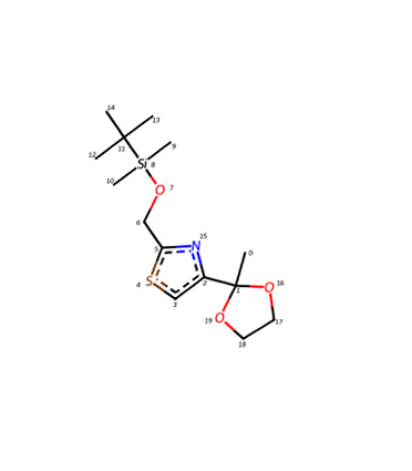 CC1(c2csc(CO[Si](C)(C)C(C)(C)C)n2)OCCO1